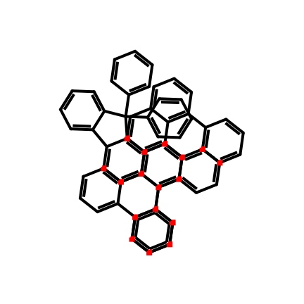 c1ccc(-c2ccccc2-c2ccccc2-c2ccccc2N(c2ccc3c(c2)C(c2ccccc2)(c2ccccc2)c2ccccc2-3)c2ccccc2-c2cccc3cccc(-c4ccccc4)c23)cc1